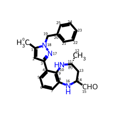 Cc1cc(-c2cccc3c2N[C@H](C)CC(C=O)N3)nn1Cc1ccccc1